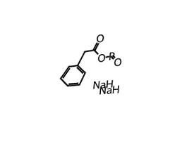 O=POC(=O)Cc1ccccc1.[NaH].[NaH]